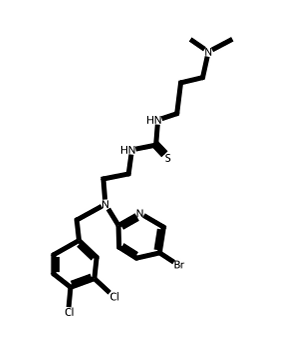 CN(C)CCCNC(=S)NCCN(Cc1ccc(Cl)c(Cl)c1)c1ccc(Br)cn1